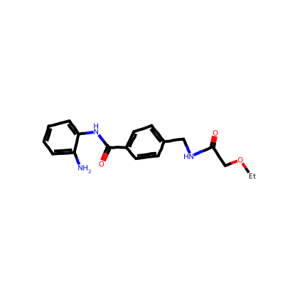 CCOCC(=O)NCc1ccc(C(=O)Nc2ccccc2N)cc1